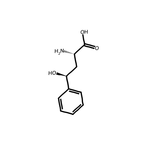 N[C@@H](C[C@H](O)c1ccccc1)C(=O)O